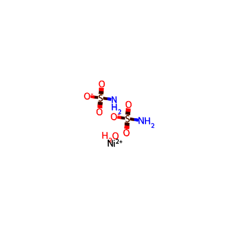 NS(=O)(=O)[O-].NS(=O)(=O)[O-].O.[Ni+2]